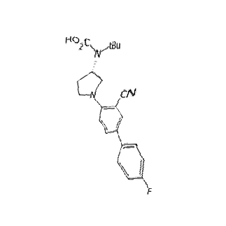 CC(C)(C)N(C(=O)O)[C@H]1CCN(c2ccc(-c3ccc(F)cc3)cc2C#N)C1